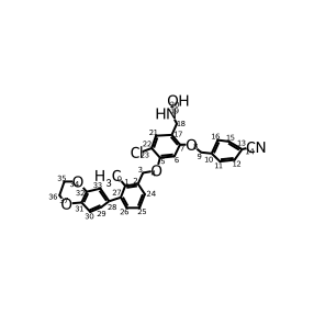 Cc1c(COc2cc(OCc3ccc(C#N)cc3)c(CNO)cc2Cl)cccc1-c1ccc2c(c1)OCCO2